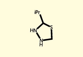 CC(C)[C]1NNCS1